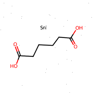 O=C(O)CCCCC(=O)O.[Sn]